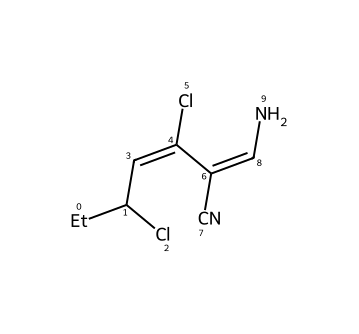 CCC(Cl)/C=C(Cl)\C(C#N)=C/N